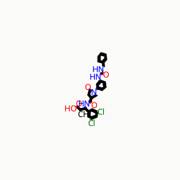 CC(C(=O)O)C(NC(=O)C1CC(=O)N(c2cccc(NC(=O)NCc3ccccc3)c2)C1)c1cc(Cl)cc(Cl)c1